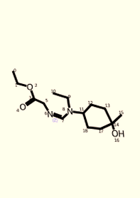 CCOC(=O)C/N=C\N(CC)C1CCC(C)(O)CC1